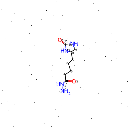 NNC(=O)CCCCC1CNC(=O)N1